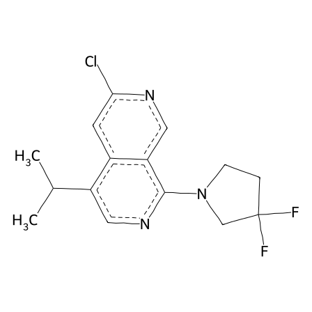 CC(C)c1cnc(N2CCC(F)(F)C2)c2cnc(Cl)cc12